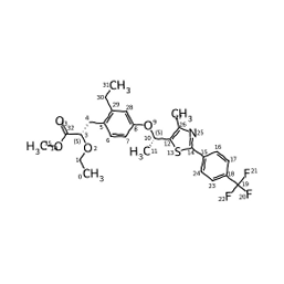 CCO[C@@H](Cc1ccc(O[C@@H](C)c2sc(-c3ccc(C(F)(F)F)cc3)nc2C)cc1CC)C(=O)OC